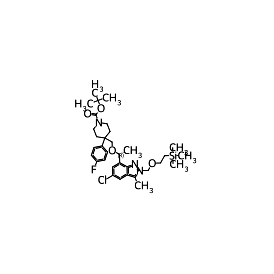 Cc1c2cc(Cl)cc([C@@H](C)OCC3(c4ccc(F)cc4)CCN(C(=O)OC(C)(C)C)CC3)c2nn1COCC[Si](C)(C)C